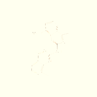 COc1cccc2c(C)nc(Nc3nc(O)c4cccc(C)c4n3)nc12